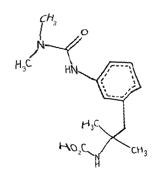 CN(C)C(=O)Nc1cccc(CC(C)(C)NC(=O)O)c1